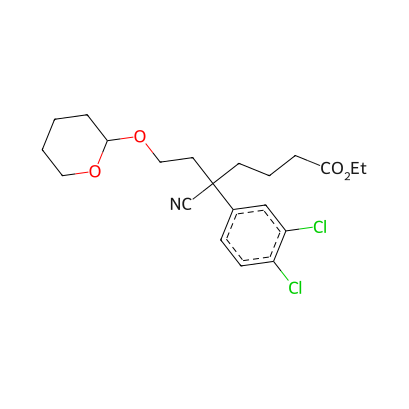 CCOC(=O)CCCC(C#N)(CCOC1CCCCO1)c1ccc(Cl)c(Cl)c1